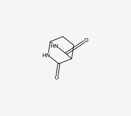 O=C1NC2CCC1C(=O)N2